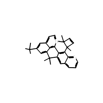 CC(C)(C)c1cc2c3c4[n+](ccc3c1)C1(C)C=CC1(C)c1c-4c(cc3cccnc13)C2(C)C